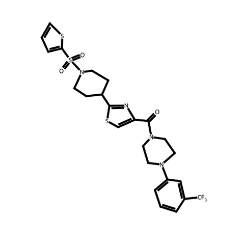 O=C(c1csc(C2CCN(S(=O)(=O)c3cccs3)CC2)n1)N1CCN(c2cccc(C(F)(F)F)c2)CC1